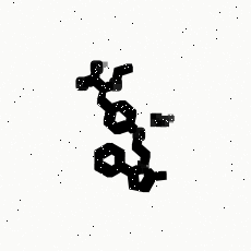 CCO[C@@H](Cc1ccc(OCCn2c(C)ccc2-c2ccccc2)cc1)C(=O)[O-].[Na+]